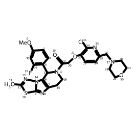 COc1ccc(C2c3c(nc4sc(C)nn34)CCN2C(=O)COc2ccc(CN3CCOCC3)nc2Cl)c(F)c1